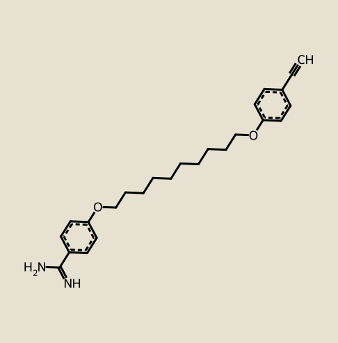 C#Cc1ccc(OCCCCCCCCCCOc2ccc(C(=N)N)cc2)cc1